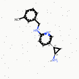 N#Cc1cccc(CNc2ccc([C@@H]3C[C@H]3N)cn2)c1